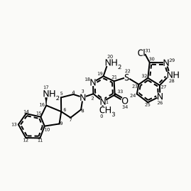 Cn1c(N2CCC3(CC2)Cc2ccccc2[C@H]3N)nc(N)c(Sc2ccnc3[nH]nc(Cl)c23)c1=O